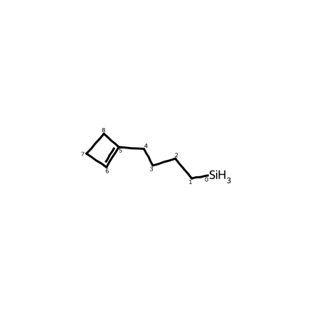 [SiH3]CCCCC1=CCC1